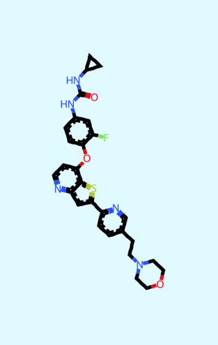 O=C(Nc1ccc(Oc2ccnc3cc(-c4ccc(CCN5CCOCC5)cn4)sc23)c(F)c1)NC1CC1